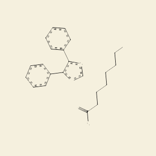 NC(=O)CCCCCCS.c1ccc(-c2ncsc2-c2ccccc2)cc1